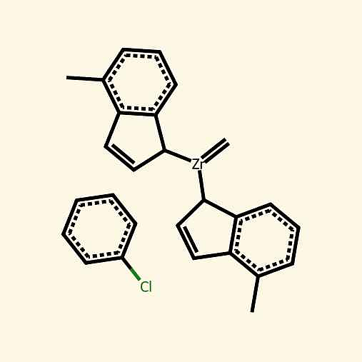 Clc1ccccc1.[CH2]=[Zr]([CH]1C=Cc2c(C)cccc21)[CH]1C=Cc2c(C)cccc21